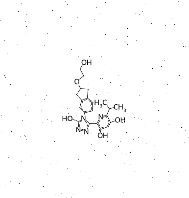 CC(C)c1nc(-c2nnc(O)n2-c2ccc3c(c2)CC(OCCO)C3)c(O)cc1O